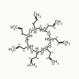 C=CC[SiH]1O[SiH](CC=C)O[SiH](CC=C)O[SiH](CC=C)O[SiH](CC=C)O[SiH](CC=C)O[SiH](CC=C)O1